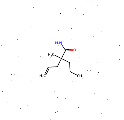 [CH2]CCC(C)(CC=C)C(N)=O